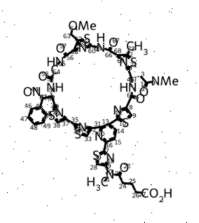 CNC(=O)C[C@@H]1NC(=O)c2csc(n2)-c2ccc(-c3nc(N(C)C(=O)CCCC(=O)O)cs3)nc2-c2csc(n2)-c2csc(n2)[C@H]([C@@H](N=O)c2ccccc2)NC(=O)CNC(=O)c2nc(sc2COC)NC(=O)c2nc1sc2C